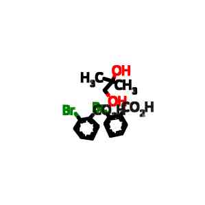 CC(C)(O)CO.O=C(O)c1ccccc1Br.O=C(O)c1ccccc1Br